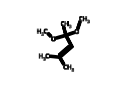 COC(C)(C=C(C)C)OC